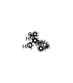 O=C1Nc2c(C3CCNCC3)cc(NS(=O)(=O)c3ccccc3OC(F)(F)F)cc2C12CCCC2